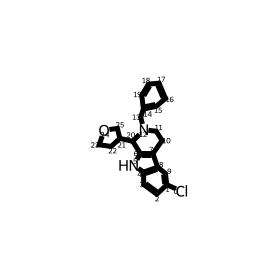 Clc1ccc2[nH]c3c(c2c1)CCN(Cc1ccccc1)C3C1CCOC1